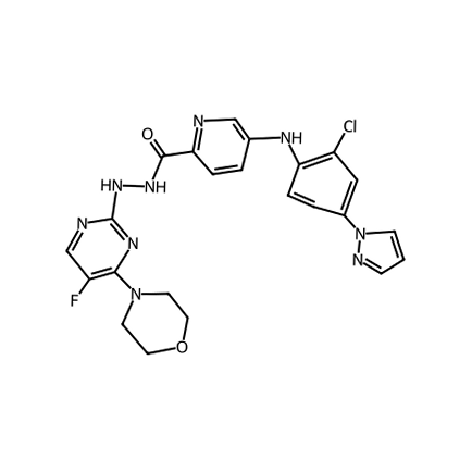 O=C(NNc1ncc(F)c(N2CCOCC2)n1)c1ccc(Nc2ccc(-n3cccn3)cc2Cl)cn1